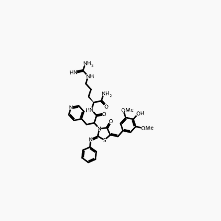 COc1cc(C=C2SC(=Nc3ccccc3)N(C(Cc3ccncc3)C(=O)N[C@@H](CCCNC(=N)N)C(N)=O)C2=O)cc(OC)c1O